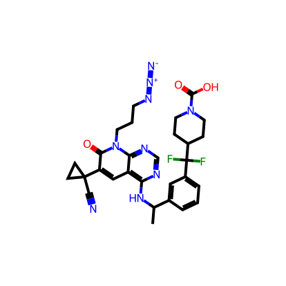 CC(Nc1ncnc2c1cc(C1(C#N)CC1)c(=O)n2CCCN=[N+]=[N-])c1cccc(C(F)(F)C2CCN(C(=O)O)CC2)c1